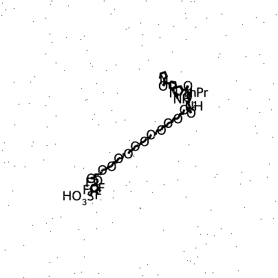 CCCN(OCCNC(=O)OCCOCCOCCOCCOCCOCCOCCOCCOCCOCCOCCC(=O)Oc1c(F)c(F)c(S(=O)(=O)O)c(F)c1F)C(=O)C1=Cc2ccc(C(=O)N3CCCC3)cc2N=C(N)C1